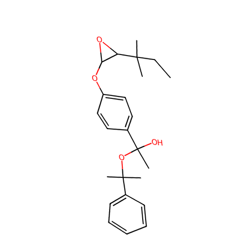 CCC(C)(C)C1OC1Oc1ccc(C(C)(O)OC(C)(C)c2ccccc2)cc1